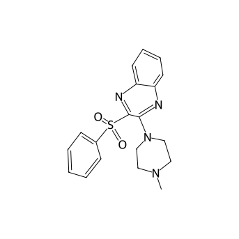 CN1CCN(c2nc3ccccc3nc2S(=O)(=O)c2ccccc2)CC1